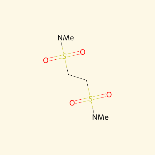 CNS(=O)(=O)CCS(=O)(=O)NC